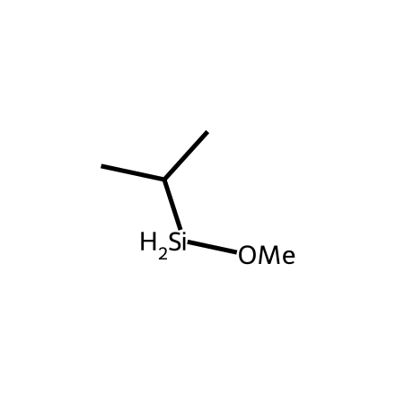 CO[SiH2]C(C)C